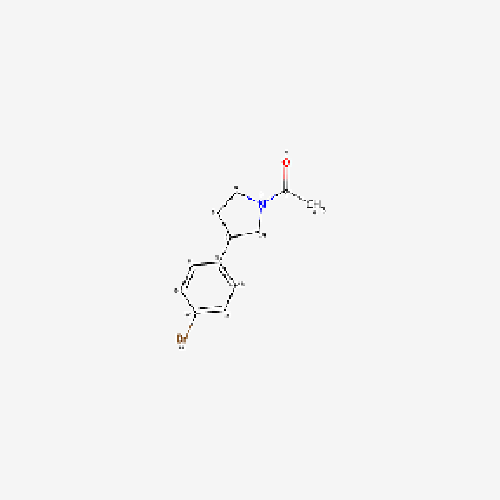 CC(=O)N1CCC(c2ccc(Br)cc2)C1